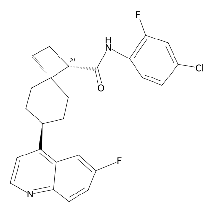 O=C(Nc1ccc(Cl)cc1F)[C@H]1CC[C@]12CC[C@H](c1ccnc3ccc(F)cc31)CC2